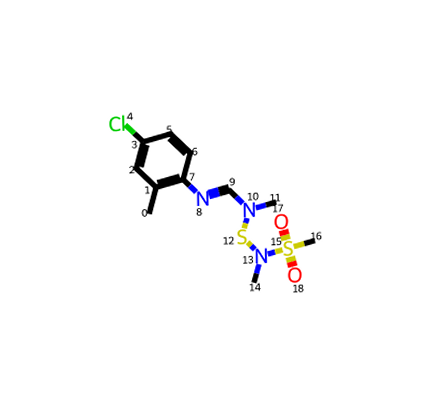 Cc1cc(Cl)ccc1/N=C/N(C)SN(C)S(C)(=O)=O